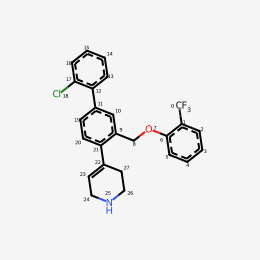 FC(F)(F)c1ccccc1OCc1cc(-c2ccccc2Cl)ccc1C1=CCNCC1